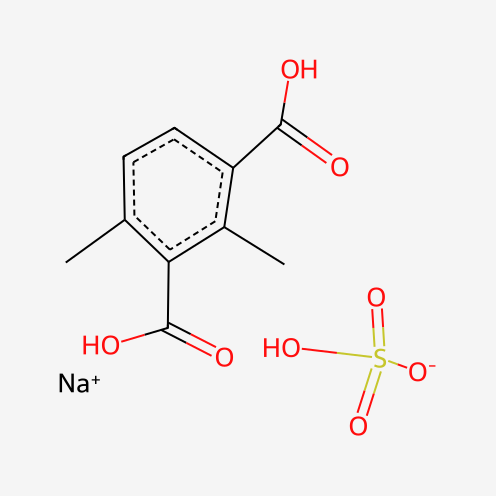 Cc1ccc(C(=O)O)c(C)c1C(=O)O.O=S(=O)([O-])O.[Na+]